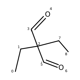 CCC([C]=O)([C]=O)CC